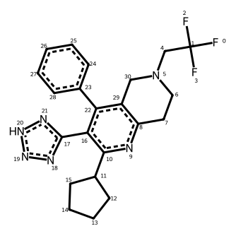 FC(F)(F)CN1CCc2nc(C3CCCC3)c(-c3nn[nH]n3)c(-c3ccccc3)c2C1